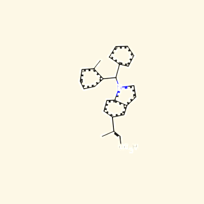 CC(=CC(=O)O)c1ccc2c(ccn2C(c2ccccc2)c2ccccc2C)c1